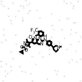 Cc1nn(S(=O)(=O)C2CC2)c(C)c1-c1cc2cnc(Nc3ccc(C4CCCN(C)C4)cc3)nc2n(Cc2ccccc2C(F)(F)F)c1=O